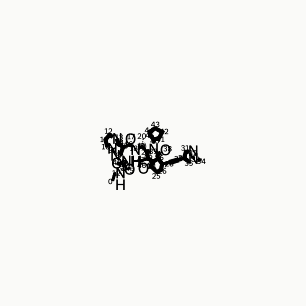 CCNS(=O)(=O)Nc1nn2cccnc2c1C(=O)N[C@H](C)c1c2c3c(ccc(C#Cc4cnn(C)c4)c3c(=O)n1-c1ccccc1)OC2